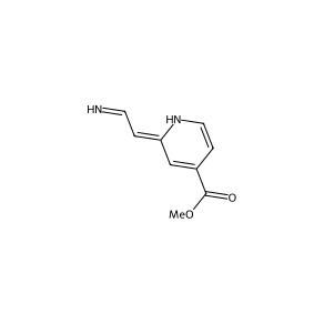 COC(=O)C1=C/C(=C/C=N)NC=C1